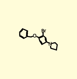 Brc1cc(N2CCCC2)ccc1OCc1ccccc1